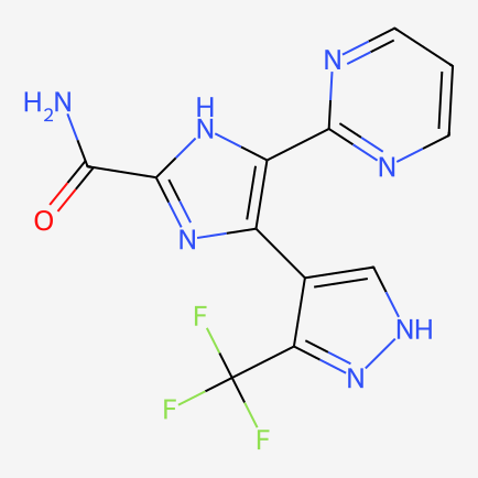 NC(=O)c1nc(-c2c[nH]nc2C(F)(F)F)c(-c2ncccn2)[nH]1